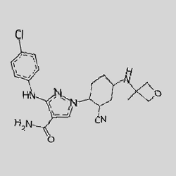 CC1(NC2CCC(n3cc(C(N)=O)c(Nc4ccc(Cl)cc4)n3)C(C#N)C2)COC1